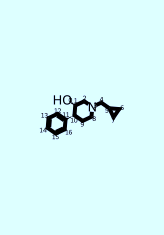 O[C@@H]1CN(CC2CC2)CC[C@@H]1c1ccccc1